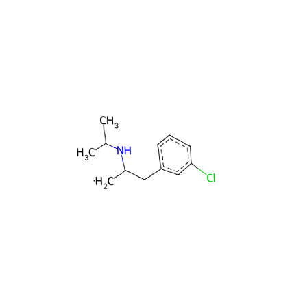 [CH2]C(Cc1cccc(Cl)c1)NC(C)C